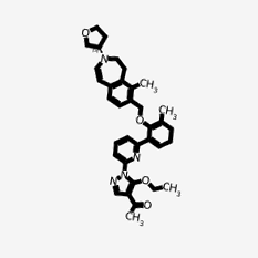 CCOc1c(C(C)=O)cnn1-c1cccc(C2=CCCC(C)=C2OCc2ccc3c(c2C)CCN([C@H]2CCOC2)C=C3)n1